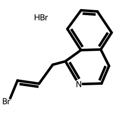 Br.BrC=CCc1nccc2ccccc12